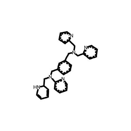 C1=CNC(CN(Cc2cccc(CN(Cc3ccccn3)Cc3ccccn3)c2)c2ccccn2)C=C1